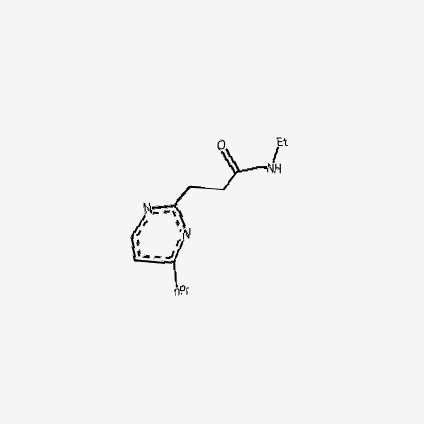 CCCc1ccnc(CCC(=O)NCC)n1